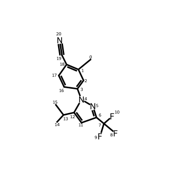 Cc1cc(-n2nc(C(F)(F)F)cc2C(C)C)ccc1C#N